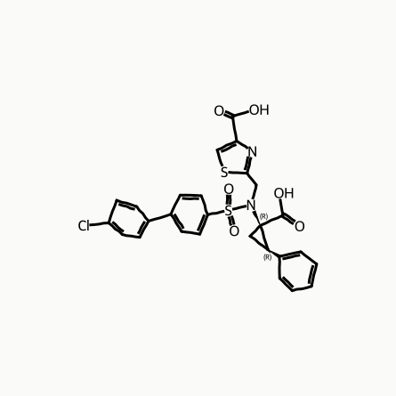 O=C(O)c1csc(CN([C@]2(C(=O)O)C[C@@H]2c2ccccc2)S(=O)(=O)c2ccc(-c3ccc(Cl)cc3)cc2)n1